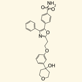 NS(=O)(=O)c1ccc(-c2oc(CCOc3cccc(C4(O)CCOCC4)c3)nc2-c2ccccc2)cc1